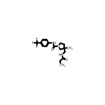 CCC(=O)NCC1(C)CCN(C(=O)Nc2ccc(C(F)(F)F)cc2)C1